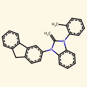 C=C1N(c2ccc3c(c2)-c2ccccc2C3)c2ccccc2N1c1ccccc1C